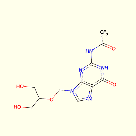 O=C(Nc1nc2c(ncn2COC(CO)CO)c(=O)[nH]1)C(F)(F)F